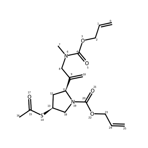 C=CCOC(=O)N(C)CC(=C)[C@@H]1C[C@H](SC(C)=O)CN1C(=O)OCC=C